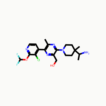 Cc1nc(N2CCC(C)(C(C)N)CC2)c(CO)nc1-c1ccnc(OC(F)F)c1Cl